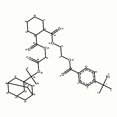 CCC(C)(C)c1ccc(C(=O)OCCOC(=O)C2CCCCC2C(=O)OCC(=O)OC(C)(C)C23CC4CC(CC(C4)C2)C3)cc1